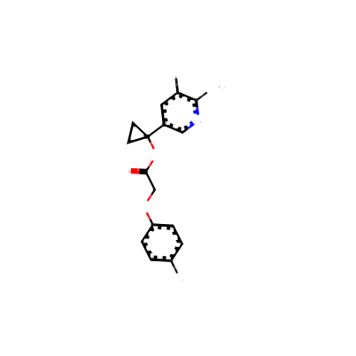 COc1ncc(C2(OC(=O)COc3ccc([N+](=O)[O-])cc3)CC2)cc1C(F)(F)F